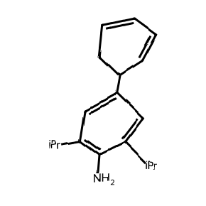 CC(C)c1cc(C2C=CC=CC2)cc(C(C)C)c1N